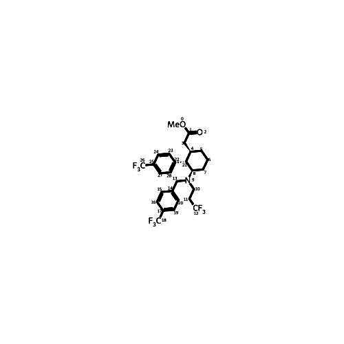 COC(=O)C[C@H]1CCC[C@@H](N(CCC(F)(F)F)Cc2ccc(C(F)(F)F)cc2)[C@@H]1c1ccc(C(F)(F)F)cc1